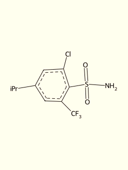 CC(C)c1cc(Cl)c(S(N)(=O)=O)c(C(F)(F)F)c1